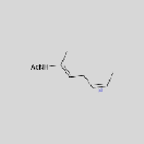 C/C=C\CC=C(C)NC(C)=O